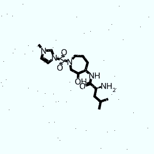 CC(C)C[C@H](N)C(=O)NC1CCCN(S(=O)(=O)N2C=CN(C)C2)CC1O